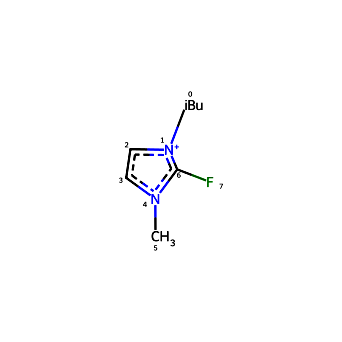 CCC(C)[n+]1ccn(C)c1F